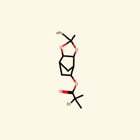 CCCC1(C)OC2C3CC(OC(=O)C(C)(C)CC)C(C3)C2O1